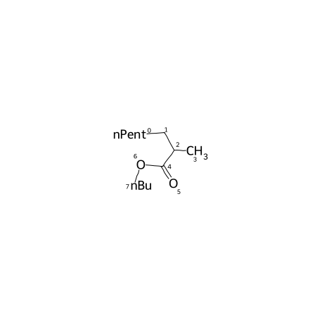 CCCCCCC(C)C(=O)OCCCC